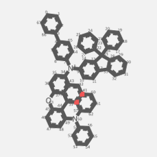 c1ccc(-c2ccc(N(c3ccc4c(c3)C(c3ccccc3)(c3ccccc3)c3ccccc3-4)c3ccc4c5c(cccc35)-c3c(cccc3N(c3ccccc3)c3ccccc3)O4)cc2)cc1